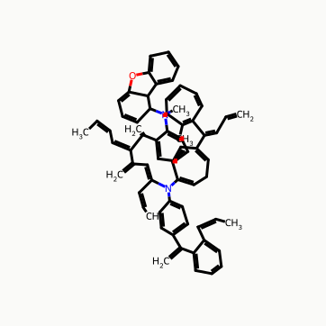 C=C/C=C(/C1=CCC=C(N(C(/C=C\C)=C/C(=C)/C(=C/C=C\C)C(=C)c2ccccc2N(C)C2C=CC=C3Oc4ccccc4C32)c2ccc(C(=C)c3ccccc3/C=C\C)cc2)C=C1)C1=C(C)CC=CC=C1